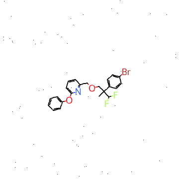 CC(COCc1cccc(Oc2ccccc2)n1)(c1ccc(Br)cc1)C(F)F